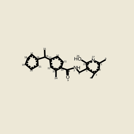 Cc1cc(C)c(CNC(=O)c2ccc(C(C)c3ccccc3)cc2C)c(O)n1